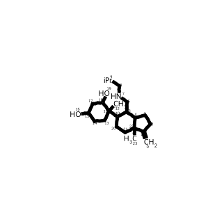 C=C1CCC2C(CNCC(C)C)C(C3(C)CCC(O)CC3O)CCC12C